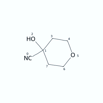 N#CC1(O)CCOCC1